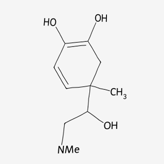 CNCC(O)C1(C)C=CC(O)=C(O)C1